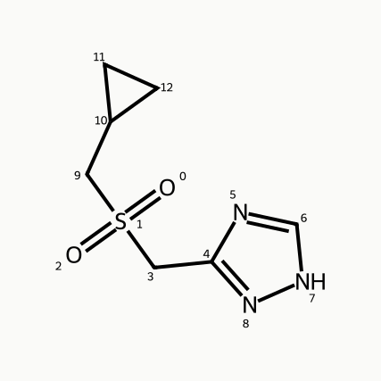 O=S(=O)(Cc1nc[nH]n1)CC1CC1